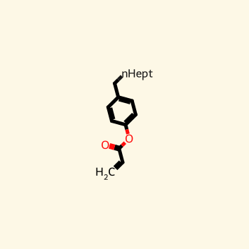 C=CC(=O)Oc1ccc(CCCCCCCC)cc1